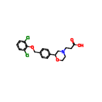 O=C(O)CCN1CCOC(c2ccc(COc3c(Cl)cccc3Cl)cc2)C1